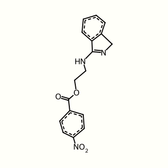 O=C(OCCNC1=NCc2ccccc21)c1ccc([N+](=O)[O-])cc1